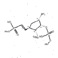 B[C@H]1C[C@H](/C=C/P(=O)(O)OC)[C@@H](OC)[C@H]1OP(=O)(O)OC(C)(C)C